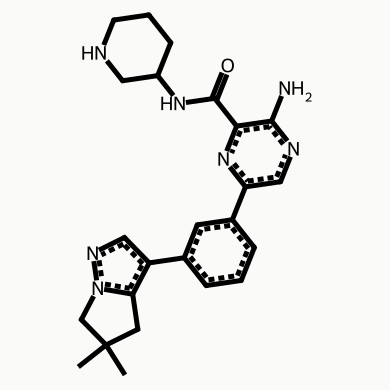 CC1(C)Cc2c(-c3cccc(-c4cnc(N)c(C(=O)NC5CCCNC5)n4)c3)cnn2C1